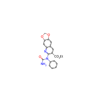 CCOC(=O)c1cc2cc3c(cc2nc1N(C(N)=O)c1ccccc1)OCO3